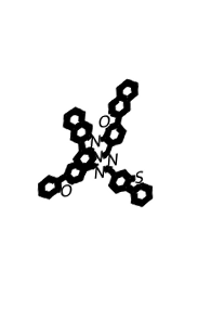 c1ccc2cc3c(cc2c1)oc1c(-n2c4ccccc4c4cc5ccccc5cc42)c(-c2nc(-c4ccc5c(c4)oc4ccccc45)nc(-c4ccc5c(c4)sc4ccccc45)n2)ccc13